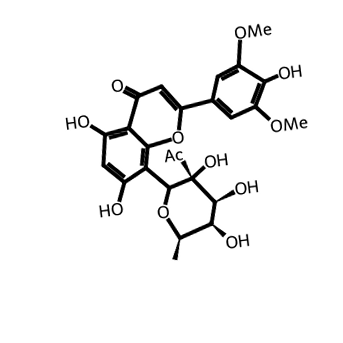 COc1cc(-c2cc(=O)c3c(O)cc(O)c(C4O[C@H](C)[C@H](O)[C@H](O)[C@]4(O)C(C)=O)c3o2)cc(OC)c1O